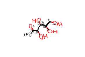 CC(C)(C)C(=O)[C@H](O)[C@@H](O)[C@H](O)CO